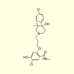 CNC(=O)c1cc(Cl)c(O)cc1OCCCN1CCC(O)(c2ccc(Cl)cc2)C(C)(C)C1